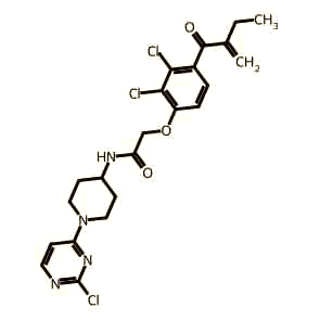 C=C(CC)C(=O)c1ccc(OCC(=O)NC2CCN(c3ccnc(Cl)n3)CC2)c(Cl)c1Cl